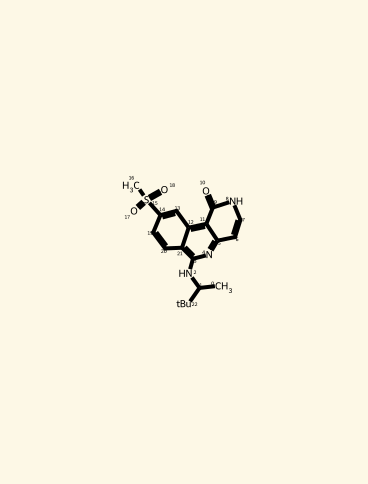 CC(Nc1nc2cc[nH]c(=O)c2c2cc(S(C)(=O)=O)ccc12)C(C)(C)C